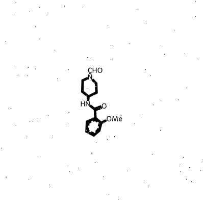 COc1ccccc1C(=O)NC1CCN(C=O)CC1